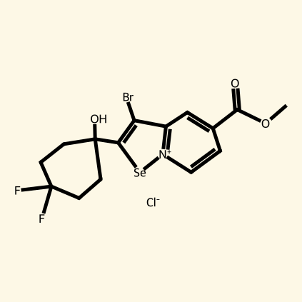 COC(=O)c1cc[n+]2[se]c(C3(O)CCC(F)(F)CC3)c(Br)c2c1.[Cl-]